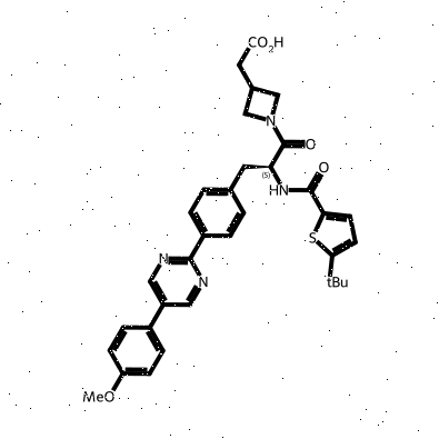 COc1ccc(-c2cnc(-c3ccc(C[C@H](NC(=O)c4ccc(C(C)(C)C)s4)C(=O)N4CC(CC(=O)O)C4)cc3)nc2)cc1